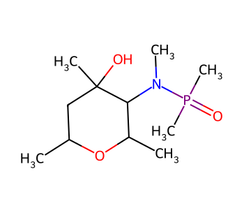 CC1CC(C)(O)C(N(C)P(C)(C)=O)C(C)O1